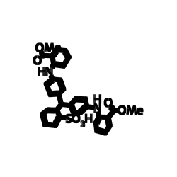 COC(=O)c1ccccc1Nc1ccc(C(c2ccc(Nc3ccccc3C(=O)OC)cc2)c2ccccc2S(=O)(=O)O)cc1